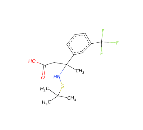 CC(C)(C)SNC(C)(CC(=O)O)c1cccc(C(F)(F)F)c1